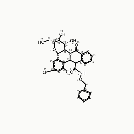 O=C(NOCc1ccccc1)C1c2ccccc2C(=O)N(C2CO[C@H](CO)[C@@H](O)[C@@H]2O)C1c1ccc(Cl)cc1Cl